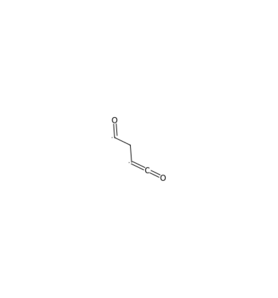 O=[C]C[C]=C=O